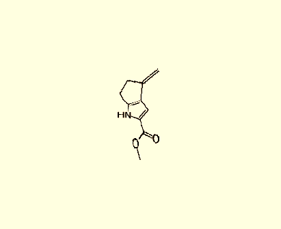 C=C1CCc2[nH]c(C(=O)OC)cc21